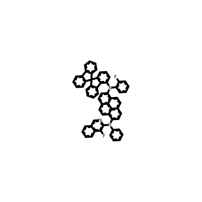 Fc1ccccc1N(c1cccc2c1-c1ccccc1C21c2ccccc2-c2ccccc21)c1ccc2ccc3c(N(c4ccccc4)c4ncc5ccccc5c4F)ccc4ccc1c2c43